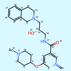 C=N/C=C(\C=C(/C)OC1CCN(C(C)=O)CC1)C(=O)NC[C@H](O)CN1CCc2ccccc2C1